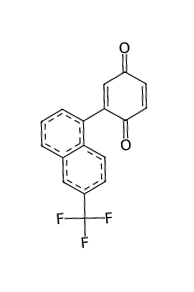 O=C1C=CC(=O)C(c2cccc3cc(C(F)(F)F)ccc23)=C1